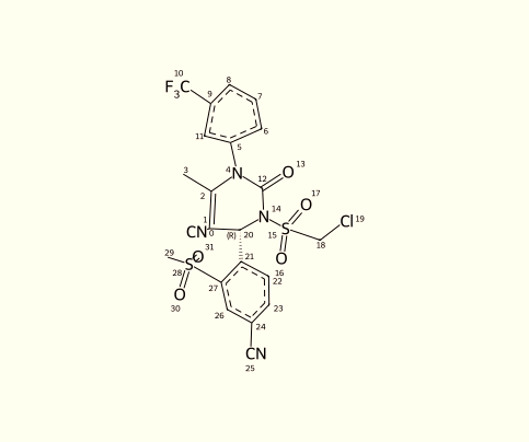 [C-]#[N+]C1=C(C)N(c2cccc(C(F)(F)F)c2)C(=O)N(S(=O)(=O)CCl)[C@@H]1c1ccc(C#N)cc1S(C)(=O)=O